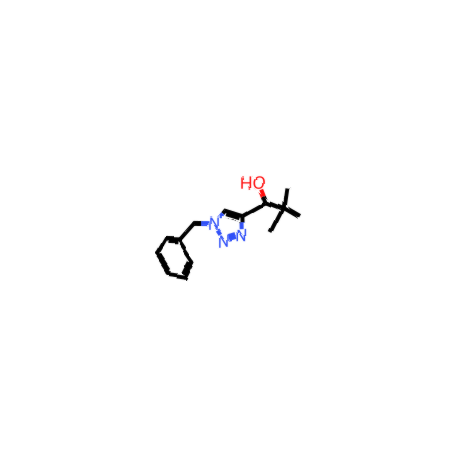 CC(C)(C)C(O)c1cn(Cc2ccccc2)nn1